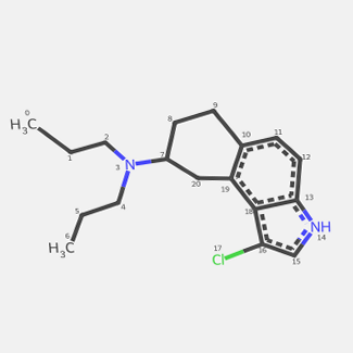 CCCN(CCC)C1CCc2ccc3[nH]cc(Cl)c3c2C1